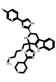 COCCOCC1(c2nnc(C3CCOCC3)o2)N[C@@H](c2nc(-c3ccc(F)cn3)c[nH]2)Cc2c1[nH]c1ccccc21